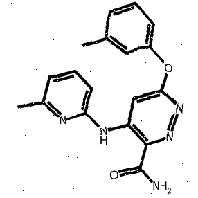 Cc1cccc(Oc2cc(Nc3cccc(C)n3)c(C(N)=O)nn2)c1